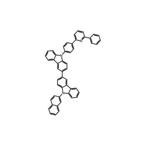 c1ccc(-c2cccc(-c3ccc(-n4c5ccccc5c5cc(-c6ccc7c(c6)c6ccccc6n7-c6ccc7ccccc7c6)ccc54)cc3)n2)cc1